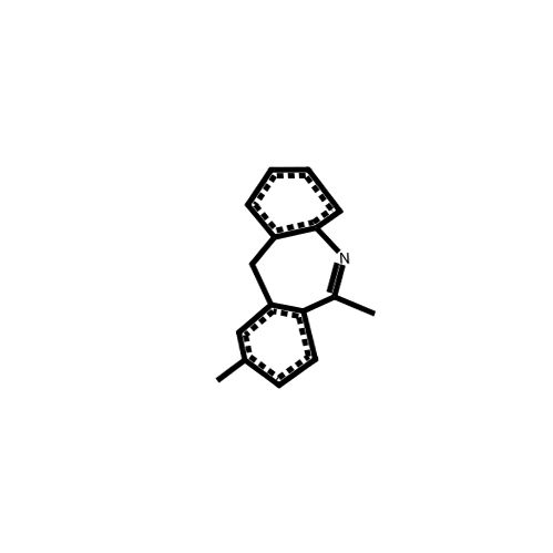 CC1=Nc2ccccc2Cc2cc(C)ccc21